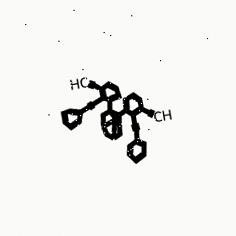 C#Cc1cccc(C2C3CC4CC(C3)CC2(c2cccc(C#C)c2C#Cc2ccccc2)C4)c1C#Cc1ccccc1